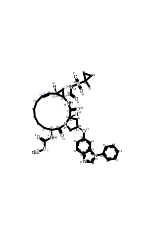 CC(C)(C)OC(=O)N[C@H]1CCCCC/C=C\[C@@H]2C[C@@]2(C(=O)NS(=O)(=O)C2(C)CC2)NC(=O)[C@@H]2C[C@@H](Oc3ccc4ncn(-c5ccccc5)c4c3)CN2C1=O